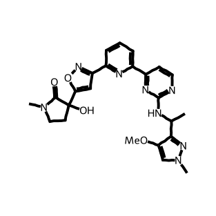 COc1cn(C)nc1C(C)Nc1nccc(-c2cccc(-c3cc(C4(O)CCN(C)C4=O)on3)n2)n1